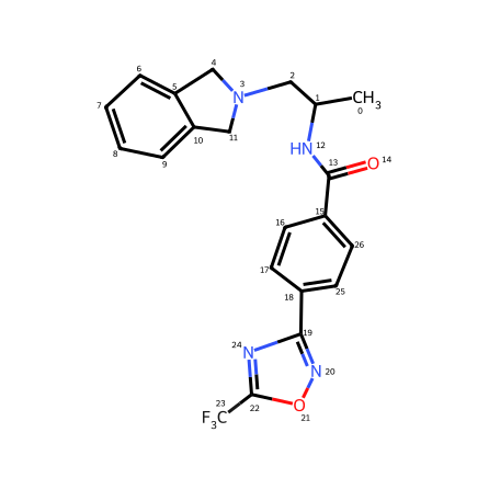 CC(CN1Cc2ccccc2C1)NC(=O)c1ccc(-c2noc(C(F)(F)F)n2)cc1